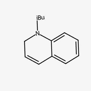 CCC(C)N1CC=Cc2ccccc21